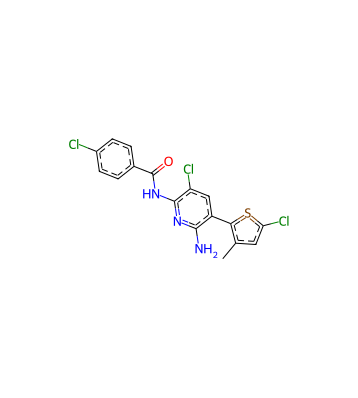 Cc1cc(Cl)sc1-c1cc(Cl)c(NC(=O)c2ccc(Cl)cc2)nc1N